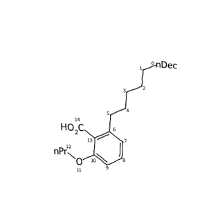 CCCCCCCCCCCCCCCc1cccc(OCCC)c1C(=O)O